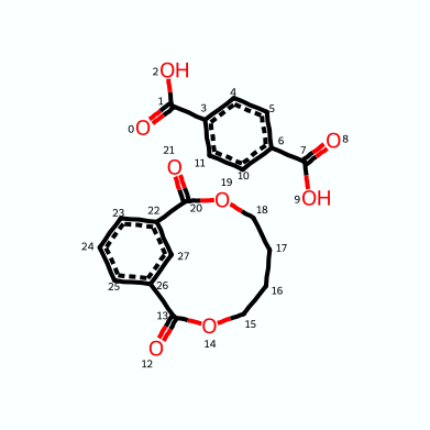 O=C(O)c1ccc(C(=O)O)cc1.O=C1OCCCCOC(=O)c2cccc1c2